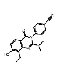 CCc1c(O)ccc2c(=O)n(-c3ccc(C#N)cc3)c(C(C)C)nc12